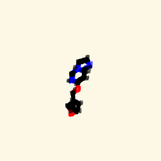 c1cn2cnc(OCC34COC(C3)C4)cc2n1